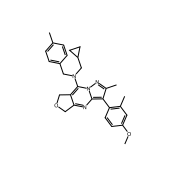 COc1ccc(-c2c(C)nn3c(N(Cc4ccc(C)cc4)CC4CC4)c4c(nc23)COC4)c(C)c1